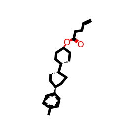 C=CCCC(=O)O[C@H]1CC[C@H]([C@H]2CC[C@H](c3ccc(C)cc3)CC2)CC1